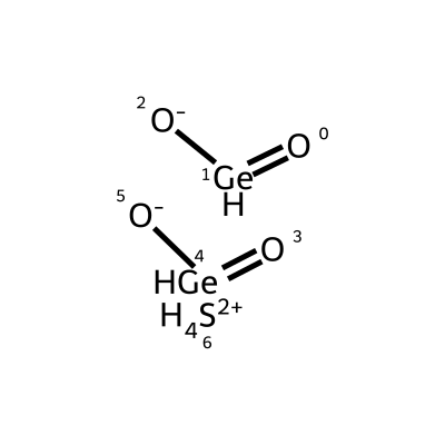 [O]=[GeH][O-].[O]=[GeH][O-].[SH4+2]